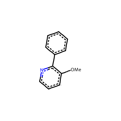 COc1[c]ccnc1-c1ccccc1